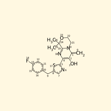 C=C1C(O)=C(c2ncc(Cc3ccc(F)cc3)s2)N=C2N1CCOC2(C)C